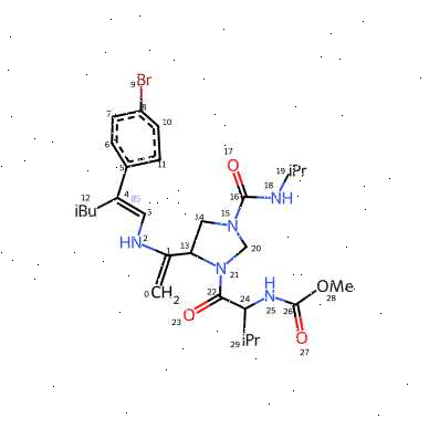 C=C(N/C=C(/c1ccc(Br)cc1)C(C)CC)C1CN(C(=O)NC(C)C)CN1C(=O)C(NC(=O)OC)C(C)C